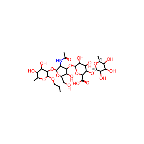 CCCOC1OC(C)C(O)C(O)C1OC1OC(CO)C(O)C(OC2OC(C(=O)O)C(O[C@@H]3O[C@@H](C)C(O)C(O)C3O)C(O)C2O)C1NC(C)=O